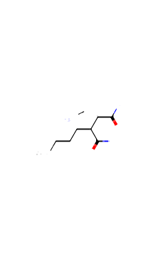 CC(=O)O.CCCCCCCCCCCCC(CC(N)=O)C(N)=O.N